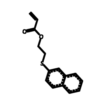 C=CC(=O)OCCSc1ccc2ccccc2c1